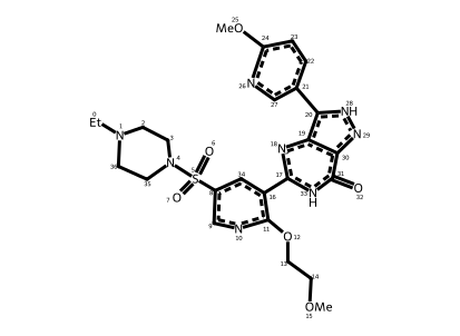 CCN1CCN(S(=O)(=O)c2cnc(OCCOC)c(-c3nc4c(-c5ccc(OC)nc5)[nH]nc4c(=O)[nH]3)c2)CC1